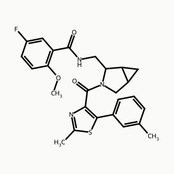 COc1ccc(F)cc1C(=O)NCC1C2CC2CN1C(=O)c1nc(C)sc1-c1cccc(C)c1